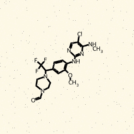 CNc1nc(Nc2ccc(C(N3CCN(C=O)CC3)C(F)(F)F)cc2OC)ncc1Cl